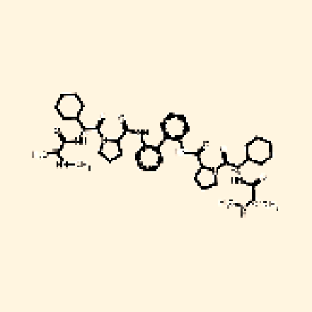 CN[C@@H](C)C(=O)N[C@H](C(=O)N1CCCC1C(=O)Nc1ccccc1-c1ccccc1NC(=O)C1CCCN1C(=O)[C@@H](NC(=O)[C@H](C)NC)C1CCCCC1)C1CCCCC1